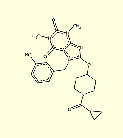 Cn1c(=O)c2c(nc(OC3CCN(C(=O)C4CC4)CC3)n2Cc2cccc(C#N)c2)n(C)c1=O